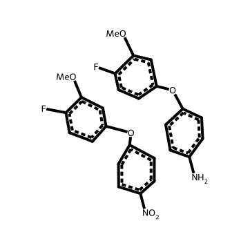 COc1cc(Oc2ccc(N)cc2)ccc1F.COc1cc(Oc2ccc([N+](=O)[O-])cc2)ccc1F